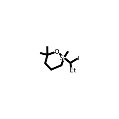 CCC(I)[Si]1(C)CCCC(C)(C)O1